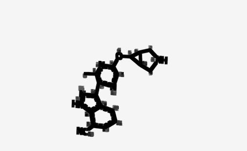 Cc1nc(OC2C3CNCC32)cnc1-c1n[nH]c2c(C#N)cccc12